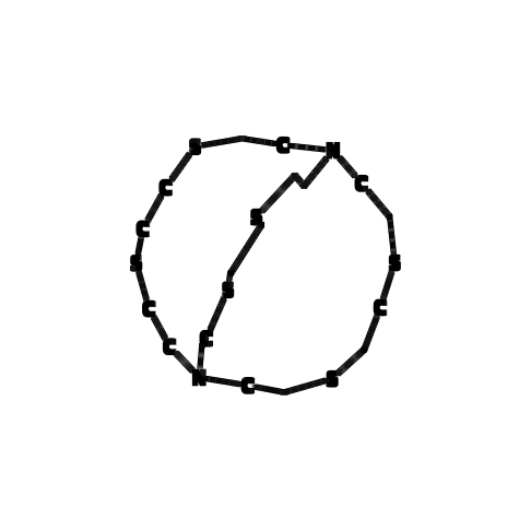 C1CSCCN2CCSCCSCCN(CCS1)CCSCCSCC2